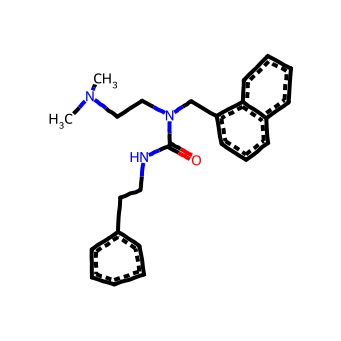 CN(C)CCN(Cc1cccc2ccccc12)C(=O)NCCc1ccccc1